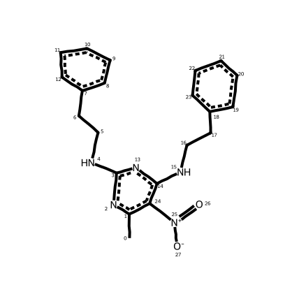 Cc1nc(NCCc2ccccc2)nc(NCCc2ccccc2)c1[N+](=O)[O-]